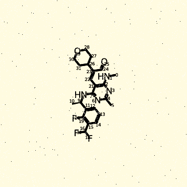 CNc1nc(C)nc(N[C@H](C)c2cccc(C(F)F)c2F)c1/C=C(\C=O)C1CCOCC1